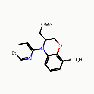 C/C=C(\N=C/CC)N1c2cccc(C(=O)O)c2OC[C@@H]1COC